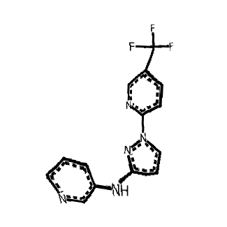 FC(F)(F)c1ccc(-n2ccc(Nc3cccnc3)n2)nc1